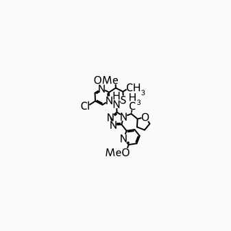 COc1cccc(-c2nnc(NSC(C)C(OC)c3ncc(Cl)cn3)n2[C@@H](C)C2CCCO2)n1